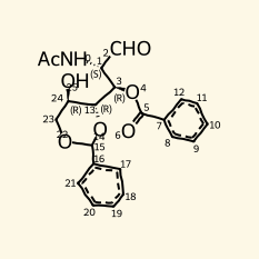 CC(=O)N[C@H](C=O)[C@@H](OC(=O)c1ccccc1)[C@@H]1OC(c2ccccc2)OC[C@H]1O